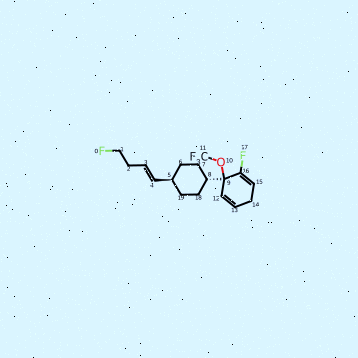 FCC/C=C/[C@H]1CC[C@H](C2(OC(F)(F)F)C=CCC=C2F)CC1